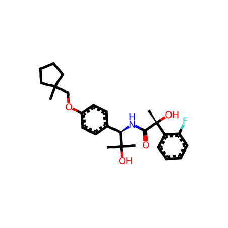 CC1(COc2ccc([C@@H](NC(=O)[C@](C)(O)c3ccccc3F)C(C)(C)O)cc2)CCCC1